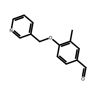 Cc1cc(C=O)ccc1OCc1cccnc1